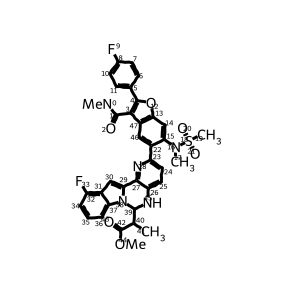 CNC(=O)c1c(-c2ccc(F)cc2)oc2cc(N(C)S(C)(=O)=O)c(-c3ccc4c(n3)-c3cc5c(F)cccc5n3C(C(C)C(=O)OC)N4)cc12